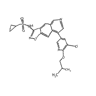 CC(C)COc1ncc(-c2cncc3cc4c(NS(=O)(=O)C5CC5)noc4cc23)cc1Cl